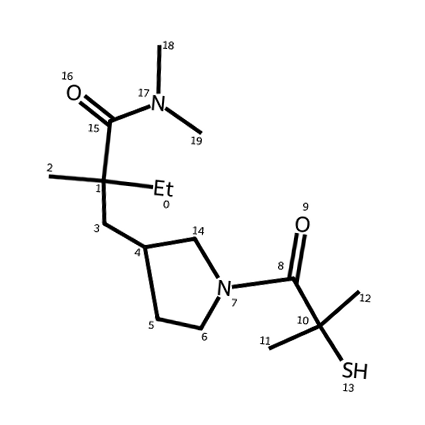 CCC(C)(CC1CCN(C(=O)C(C)(C)S)C1)C(=O)N(C)C